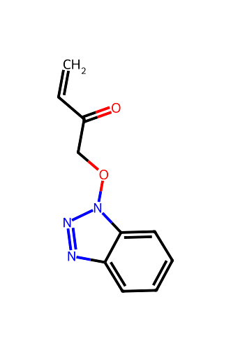 C=CC(=O)COn1nnc2ccccc21